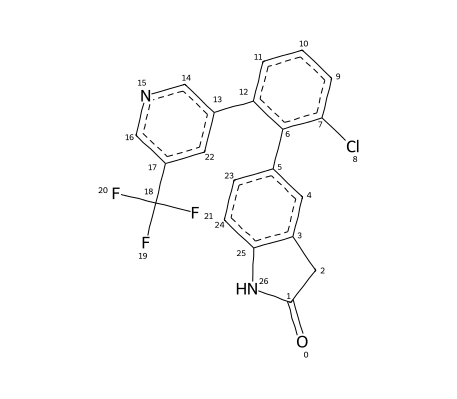 O=C1Cc2cc(-c3c(Cl)cccc3-c3cncc(C(F)(F)F)c3)ccc2N1